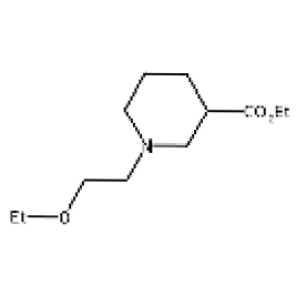 CCOCCN1CCCC(C(=O)OCC)C1